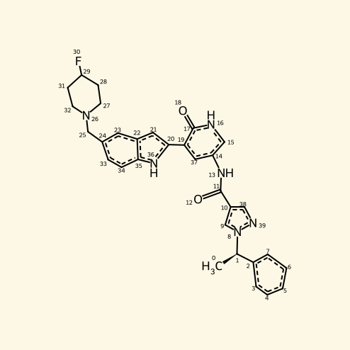 C[C@H](c1ccccc1)n1cc(C(=O)Nc2c[nH]c(=O)c(-c3cc4cc(CN5CCC(F)CC5)ccc4[nH]3)c2)cn1